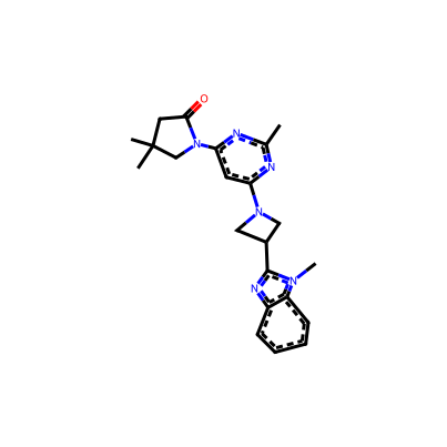 Cc1nc(N2CC(c3nc4ccccc4n3C)C2)cc(N2CC(C)(C)CC2=O)n1